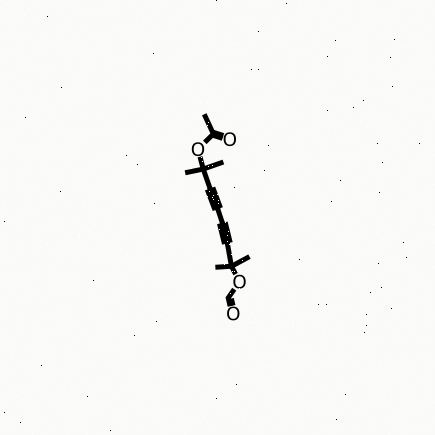 CC(=O)OC(C)(C)C#CC#CC(C)(C)OC=O